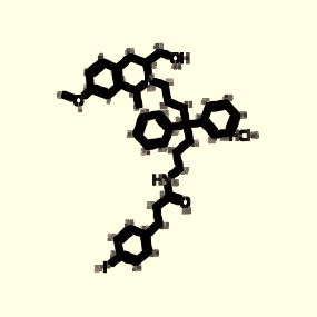 COc1ccc2c(c1)C(C)N(CCCC(CCCNC(=O)CCc1ccc(F)cc1)(c1ccccc1)c1ccccc1)C(CO)C2.Cl